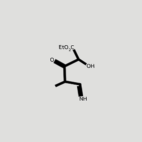 CCOC(=O)C(O)C(=O)C(C)C=N